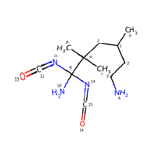 CC(CCN)CC(C)(C)C(N)(N=C=O)N=C=O